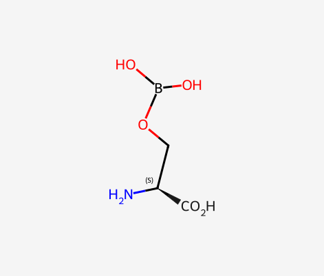 N[C@@H](COB(O)O)C(=O)O